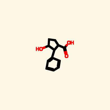 O=C(O)C1CCC(O)C1c1ccccc1